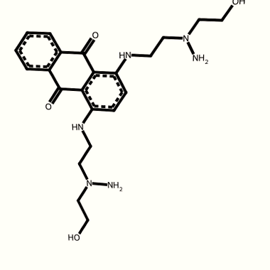 NN(CCO)CCNc1ccc(NCCN(N)CCO)c2c1C(=O)c1ccccc1C2=O